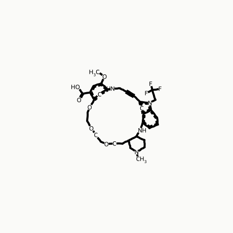 COc1cc(C(=O)O)c2cc1NCC#Cc1cc3c(cccc3n1CC(F)(F)F)NC1CCN(C)CC1CCOCCOCCO2